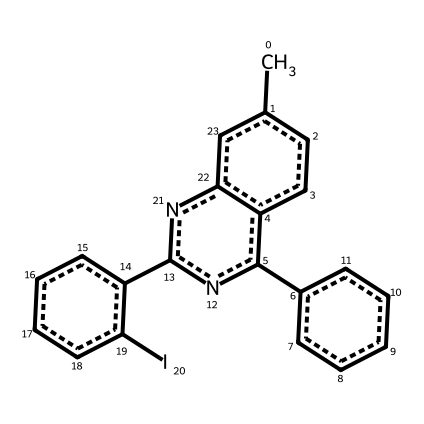 Cc1ccc2c(-c3ccccc3)nc(-c3ccccc3I)nc2c1